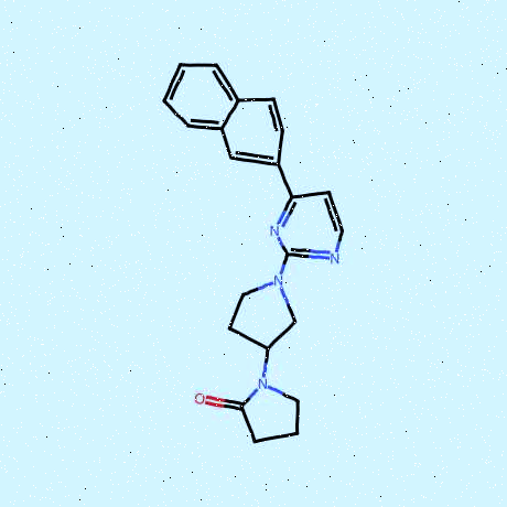 O=C1CCCN1C1CCN(c2nccc(-c3ccc4ccccc4c3)n2)C1